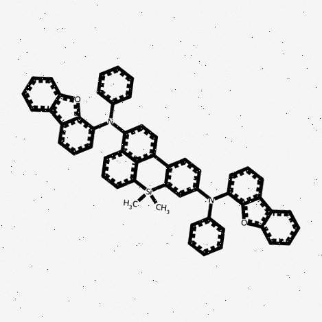 C[Si]1(C)c2cc(N(c3ccccc3)c3cccc4c3oc3ccccc34)ccc2-c2ccc(N(c3ccccc3)c3cccc4c3oc3ccccc34)c3cccc1c23